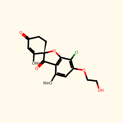 COC1=CC(=O)CC[C@]12Oc1c(Cl)c(OCCO)cc(OC)c1C2=O